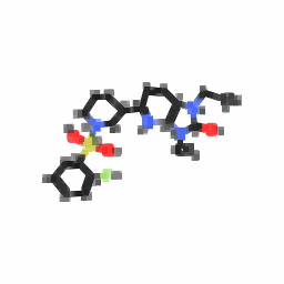 Cn1c(=O)n(CC(C)(C)C)c2ccc(C3CCCN(S(=O)(=O)c4ccccc4F)C3)nc21